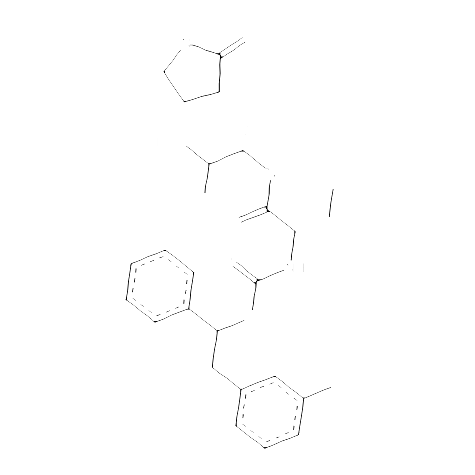 CC(C)C[C@H](NC(=O)OC(Cc1cccc(Cl)c1)c1ccccc1)C(=O)N[C@@H](C[C@@H]1CCNC1=O)C(O)S(=O)(=O)O